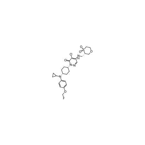 O=c1c(Cl)c(NC[C@H]2COCCS2(=O)=O)cnn1[C@H]1CC[C@@H](N(c2ccc(OCF)cc2)C2CC2)CC1